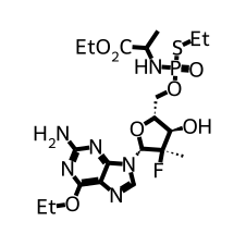 CCOC(=O)C(C)NP(=O)(OC[C@H]1O[C@@H](n2cnc3c(OCC)nc(N)nc32)[C@](C)(F)[C@@H]1O)SCC